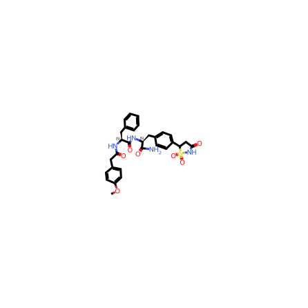 COc1ccc(CC(=O)N[C@@H](Cc2ccccc2)C(=O)N[C@@H](Cc2ccc(C3CC(=O)NS3(=O)=O)cc2)C(N)=O)cc1